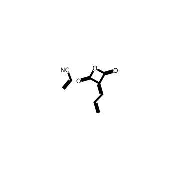 C=CC#N.C=CC=C1C(=O)OC1=O